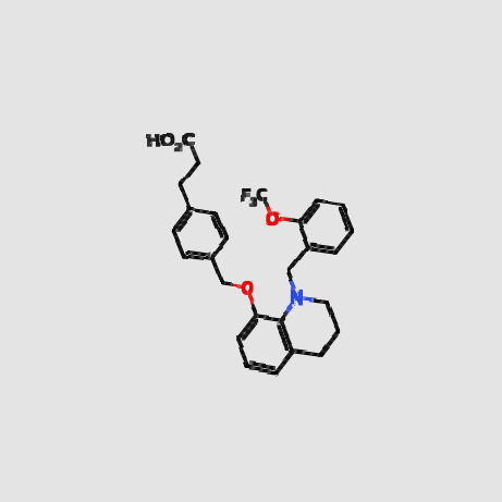 O=C(O)CCc1ccc(COc2cccc3c2N(Cc2ccccc2OC(F)(F)F)CCC3)cc1